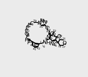 C[C@H]1Nc2nc(=O)n(c3c2cc(C2(C#N)CCOCC2)c(=O)n3C)Cc2cn(nn2)CCCCCOCC(F)(F)c2cccc1c2F